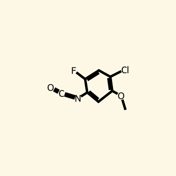 COc1cc(N=C=O)c(F)cc1Cl